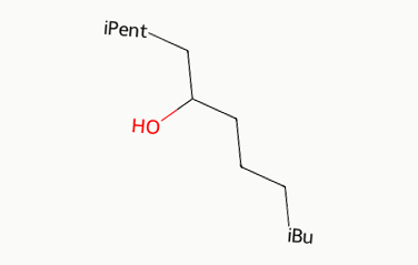 CCCC(C)CC(O)CCCC(C)CC